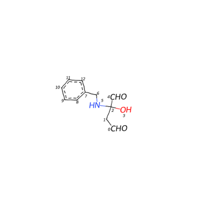 O=CCC(O)(C=O)NCc1ccccc1